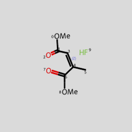 COC(=O)/C=C(/C)C(=O)OC.F